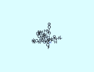 CCN(CC)CCNC(=O)c1c(C)[nH]c(/C=C2\C(=O)N(C(=O)CC[C@H](NC(=O)CCC(=O)NCc3ccc(OC)cc3)C(=O)N(c3ccc(C)c(S(N)(=O)=O)c3)c3nccc(N(C)c4ccc5c(C)n(C)nc5c4)n3)c3ccc(F)cc32)c1C